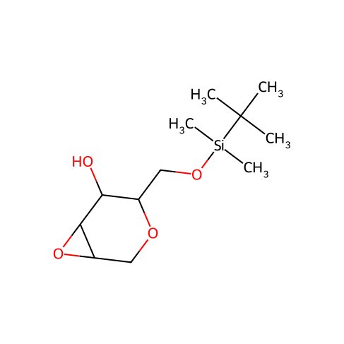 CC(C)(C)[Si](C)(C)OCC1OCC2OC2C1O